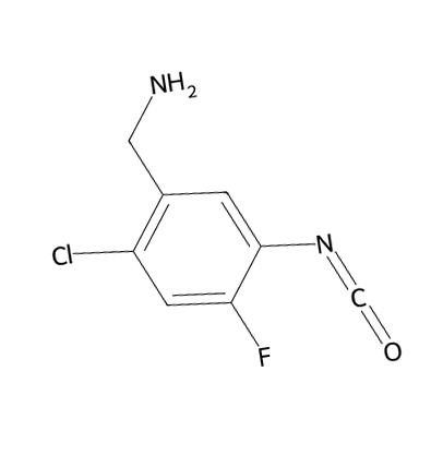 NCc1cc(N=C=O)c(F)cc1Cl